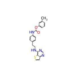 Cc1cccc(OC(=O)Nc2ccc(CCNc3ncnc4ccsc34)cc2)c1